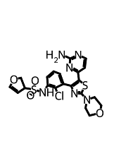 Nc1nccc(-c2sc(N3CCOCC3)nc2-c2cccc(NS(=O)(=O)C3C=COC3)c2Cl)n1